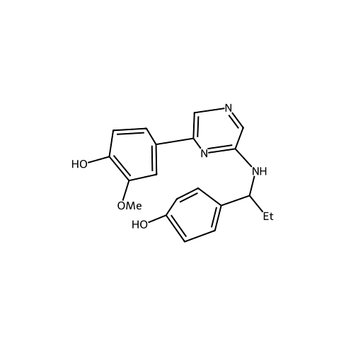 CCC(Nc1cncc(-c2ccc(O)c(OC)c2)n1)c1ccc(O)cc1